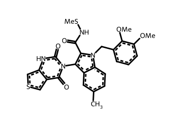 COc1cccc(Cn2c(C(=O)NSC)c(-n3c(=O)[nH]c4cscc4c3=O)c3cc(C)ccc32)c1OC